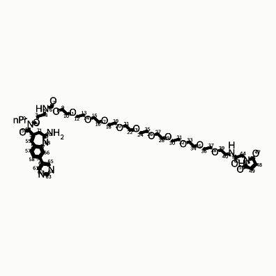 CCCN(OCCNC(=O)OCCOCCOCCOCCOCCOCCOCCOCCOCCOCCOCCNC(O)CN1C(=O)C=CC1=O)C(=O)C1=Cc2ccc(-c3cncnc3)cc2N=C(N)C1